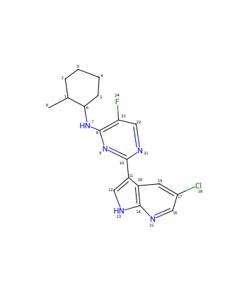 CC1CCCCC1Nc1nc(-c2c[nH]c3ncc(Cl)cc23)ncc1F